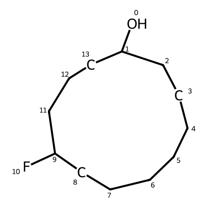 OC1CCCCCCCC(F)CCC1